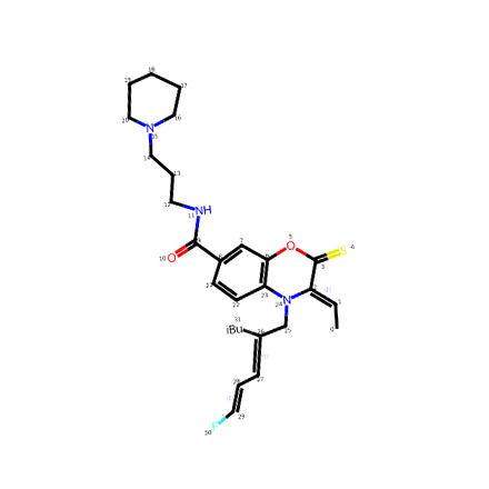 C/C=C1/C(=S)Oc2cc(C(=O)NCCCN3CCCCC3)ccc2N1C/C(=C/C=C/F)C(C)CC